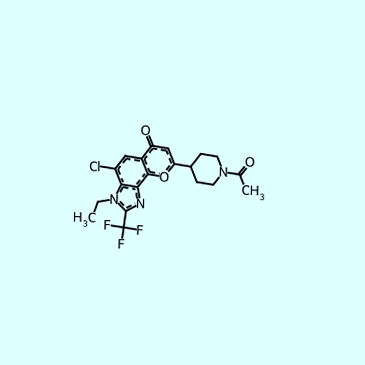 CCn1c(C(F)(F)F)nc2c3oc(C4CCN(C(C)=O)CC4)cc(=O)c3cc(Cl)c21